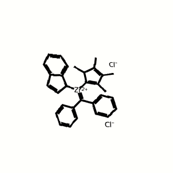 CC1=C(C)C(C)[C]([Zr+2](=[C](c2ccccc2)c2ccccc2)[CH]2C=Cc3ccccc32)=C1C.[Cl-].[Cl-]